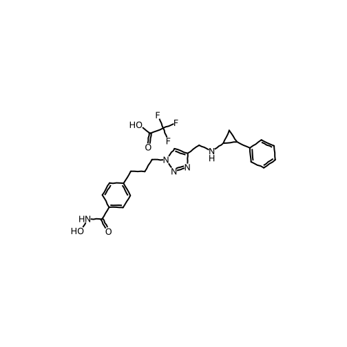 O=C(NO)c1ccc(CCCn2cc(CNC3CC3c3ccccc3)nn2)cc1.O=C(O)C(F)(F)F